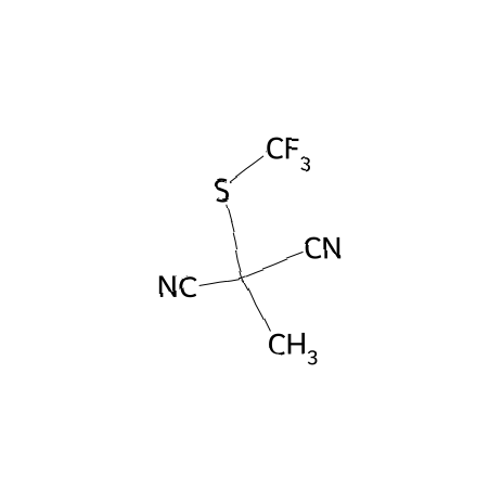 CC(C#N)(C#N)SC(F)(F)F